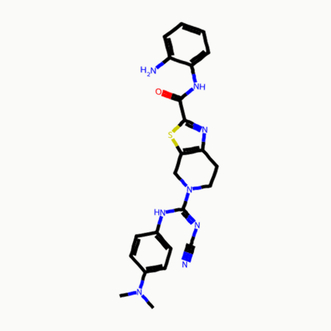 CN(C)c1ccc(N/C(=N\C#N)N2CCc3nc(C(=O)Nc4ccccc4N)sc3C2)cc1